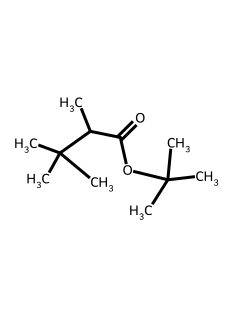 CC(C(=O)OC(C)(C)C)C(C)(C)C